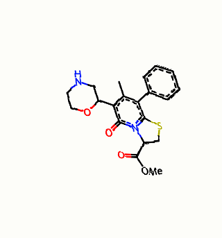 COC(=O)C1CSc2c(-c3ccccc3)c(C)c(C3CNCCO3)c(=O)n21